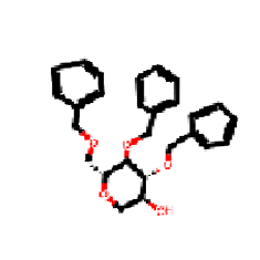 O[C@H]1[CH]O[C@H](COCc2ccccc2)[C@@H](OCc2ccccc2)[C@@H]1OCc1ccccc1